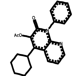 CC(=O)Oc1c(C2CCCCC2)c2cccnc2n(-c2ccccc2)c1=O